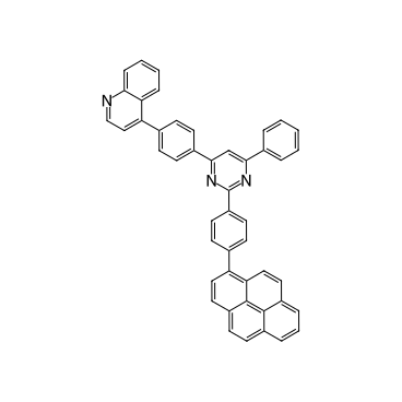 c1ccc(-c2cc(-c3ccc(-c4ccnc5ccccc45)cc3)nc(-c3ccc(-c4ccc5ccc6cccc7ccc4c5c67)cc3)n2)cc1